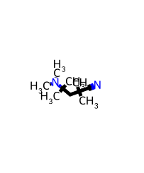 CN(C)C(C)(C)CC(C)(C)C#N